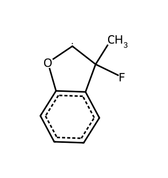 CC1(F)[CH]Oc2ccccc21